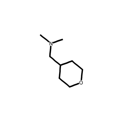 CN(C)CC1CCOCC1